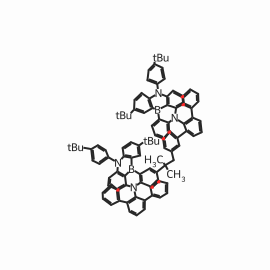 CC(C)(C)c1ccc(N2c3ccc(C(C)(C)C)cc3B3c4ccccc4N(c4c(-c5ccccc5)cccc4-c4cccc(CC(C)(C)c5ccc6c(c5)B5c7cc(C(C)(C)C)ccc7N(c7ccc(C(C)(C)C)cc7)c7cccc(c75)N6c5c(-c6ccccc6)cccc5-c5ccccc5)c4)c4cccc2c43)cc1